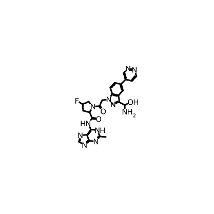 Cc1nc2ncnc-2c(NC(=O)C2CC(F)CN2C(=O)Cn2nc(C(N)O)c3cc(-c4ccnnc4)ccc32)[nH]1